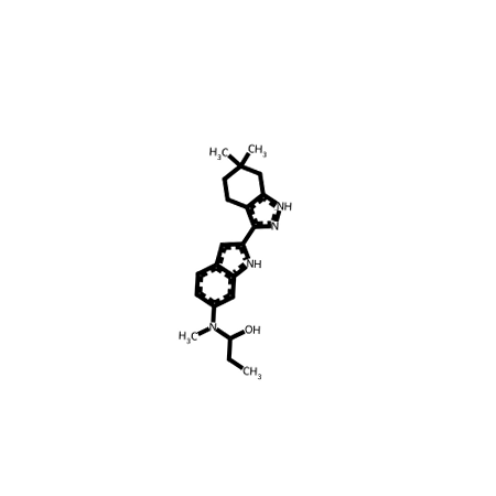 CCC(O)N(C)c1ccc2cc(-c3n[nH]c4c3CCC(C)(C)C4)[nH]c2c1